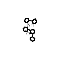 c1ccc(-c2ccccc2Nc2cccc3oc4c(-c5ccccc5)cccc4c23)cc1